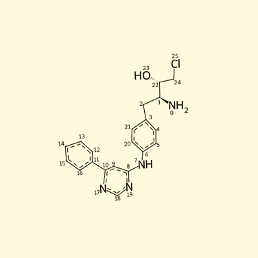 N[C@@H](Cc1ccc(Nc2cc(-c3ccccc3)ncn2)cc1)[C@H](O)CCl